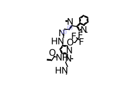 C=CC(=O)Nc1cc(NC/N=C\C=C(/N=C)c2cn(C)c3ccccc23)c(OCC(F)(F)F)nc1N(C)CCNC